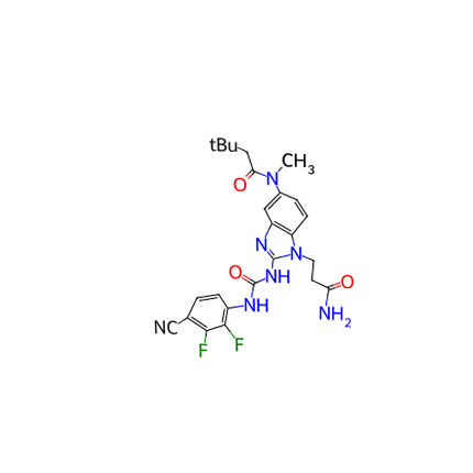 CN(C(=O)CC(C)(C)C)c1ccc2c(c1)nc(NC(=O)Nc1ccc(C#N)c(F)c1F)n2CCC(N)=O